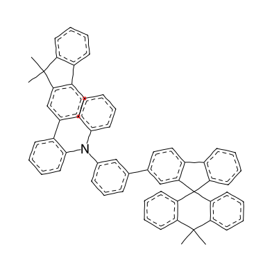 CC1(C)c2ccccc2-c2ccc(-c3ccccc3N(c3ccccc3)c3cccc(-c4ccc5c(c4)C4(c6ccccc6-5)c5ccccc5C(C)(C)c5ccccc54)c3)cc21